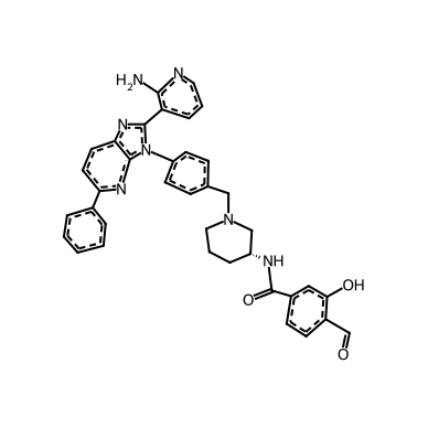 Nc1ncccc1-c1nc2ccc(-c3ccccc3)nc2n1-c1ccc(CN2CCC[C@@H](NC(=O)c3ccc(C=O)c(O)c3)C2)cc1